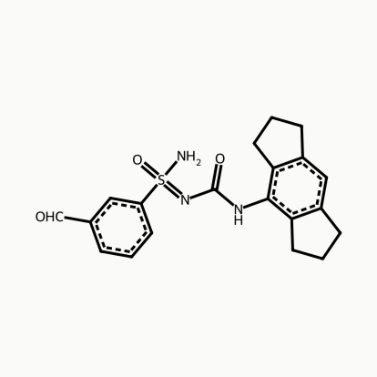 NS(=O)(=NC(=O)Nc1c2c(cc3c1CCC3)CCC2)c1cccc(C=O)c1